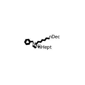 CCCCCCCCCCCCCCCCc1n(Cc2ccccc2)cc[n+]1CCCCCCC